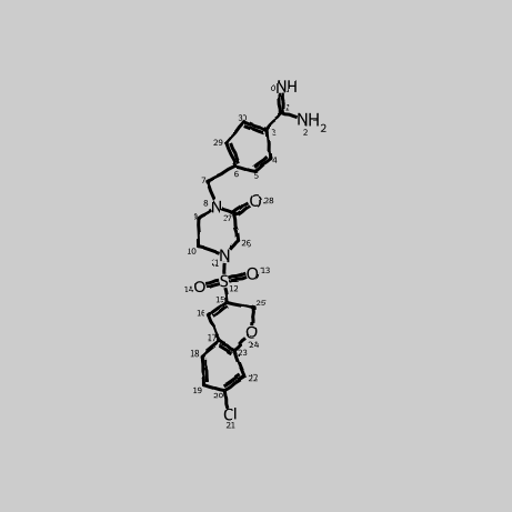 N=C(N)c1ccc(CN2CCN(S(=O)(=O)C3=Cc4ccc(Cl)cc4OC3)CC2=O)cc1